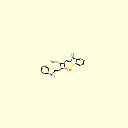 CCN1/C(=C/C2C(O)C(/C=C3\Sc4ccccc4N3CC)C2OC)Sc2ccccc21